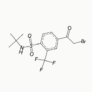 CC(C)(C)NS(=O)(=O)c1ccc(C(=O)CBr)cc1C(F)(F)F